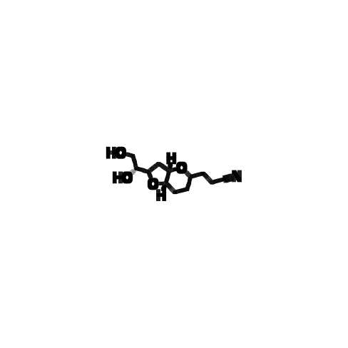 N#CCCC1CC[C@@H]2OC([C@H](O)CO)C[C@@H]2O1